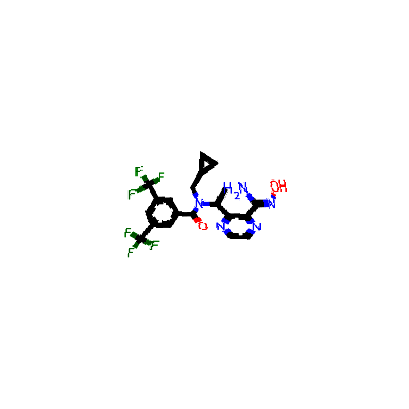 CC(c1nccnc1/C(N)=N/O)N(CC1CC1)C(=O)c1cc(C(F)(F)F)cc(C(F)(F)F)c1